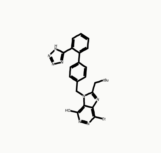 CCc1nnc(O)c2c1nc(CC(C)(C)C)n2Cc1ccc(-c2ccccc2-c2nnn[nH]2)cc1